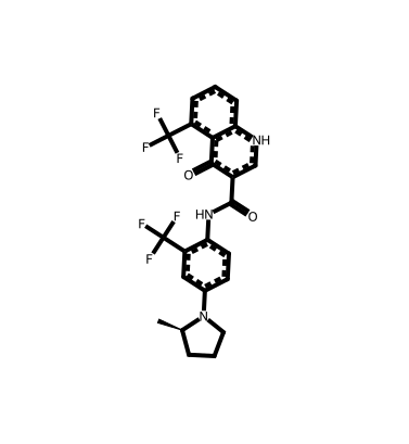 C[C@@H]1CCCN1c1ccc(NC(=O)c2c[nH]c3cccc(C(F)(F)F)c3c2=O)c(C(F)(F)F)c1